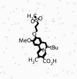 C=C1C=C2c3cc(OC)c(OCCCS(C)(=O)=O)cc3C[C@@H](C(C)(C)C)N2C=C1C(=O)O